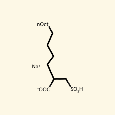 CCCCCCCCCCCCC(CS(=O)(=O)O)C(=O)[O-].[Na+]